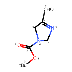 CC(C)(C)OC(=O)N1CN=C(C=O)C1